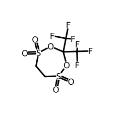 O=S1(=O)CCS(=O)(=O)OC(C(F)(F)F)(C(F)(F)F)O1